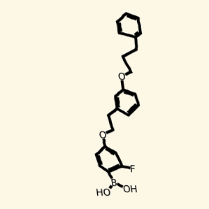 OB(O)c1ccc(OCCc2cccc(OCCCc3ccccc3)c2)cc1F